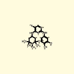 CN1C(C)(C)CC(Nc2nc(Nc3ccc(C#N)c(Cl)c3)ncc2F)CC1(C)C